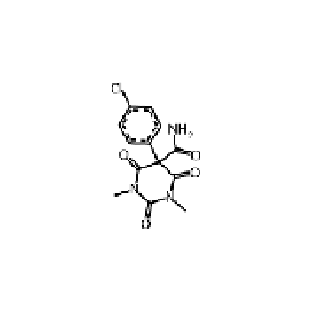 CN1C(=O)N(C)C(=O)C(C(N)=O)(c2ccc(Cl)cc2)C1=O